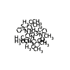 Cc1ccccc1N(c1ccc2c(c1)N(c1cc3c(cc1C)C(C)(C)CCC3(C)C)c1cc(C(C)(C)C)cc3c1B2c1cc(C(C)(C)C)cc2c4sc5ccccc5c4n-3c12)c1ccccc1C